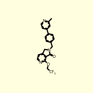 Cc1cc(-c2ccc(CN3Cc4ccnc(OCC(F)(F)F)c4C3=O)cc2)ccn1